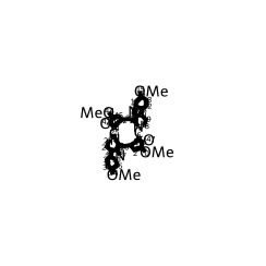 COC1=CC2C=C(CN3CCC4=c5ccc(OC)cc5=NC4=C3CC3C=C(CN4CCC5=c6ccc(OC)cc6=NC5=C4C2)C(=O)C(OC)=C3)C1=O